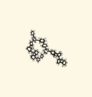 c1ccc(-c2nc(-c3ccc(-c4cccc(-c5nc(-c6ccccc6)nc(-c6ccc7c(c6)oc6c(-n8c9ccccc9c9c(-c%10ccccc%10)cccc98)cccc67)n5)c4)cc3)nc(-c3ccc4c(c3)oc3c(-c5cccc6c5sc5ccccc56)cccc34)n2)cc1